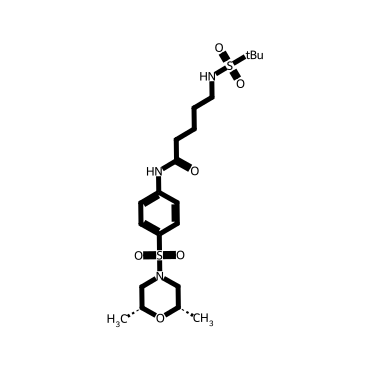 C[C@@H]1CN(S(=O)(=O)c2ccc(NC(=O)CCCCNS(=O)(=O)C(C)(C)C)cc2)C[C@H](C)O1